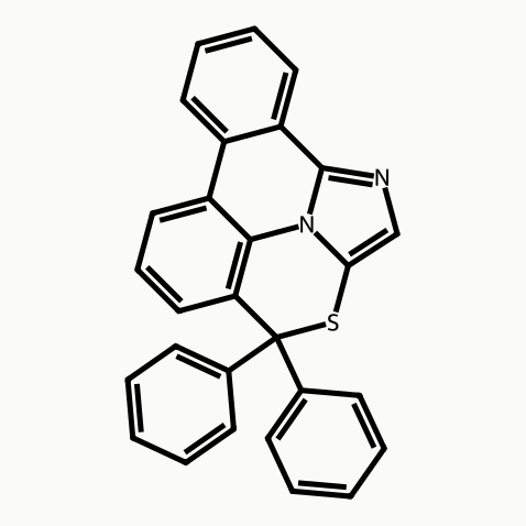 c1ccc(C2(c3ccccc3)Sc3cnc4c5ccccc5c5cccc2c5n34)cc1